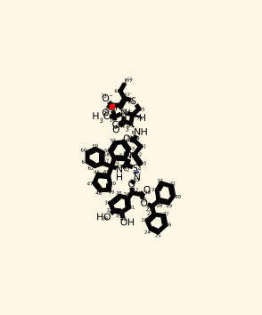 CC(C)(C)[N+]12C(=O)[C@@H](NC(=O)CC3=C/S(=N/OC(C(=O)OC(c4ccccc4)c4ccccc4)c4ccc(O)c(O)c4)C(NC(c4ccccc4)(c4ccccc4)c4ccccc4)=N3)[C@H]1CSC(CI)=C2C(=O)[O-]